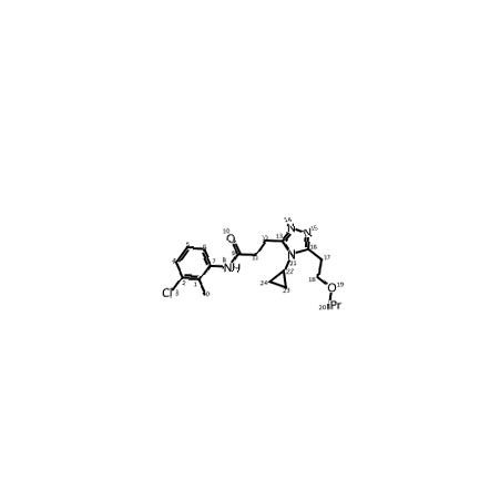 Cc1c(Cl)cccc1NC(=O)CCc1nnc(CCOC(C)C)n1C1CC1